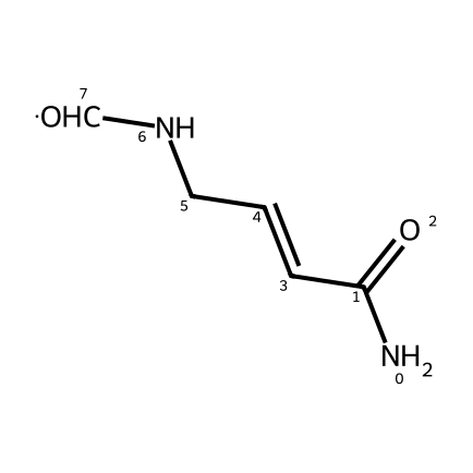 NC(=O)C=CCN[C]=O